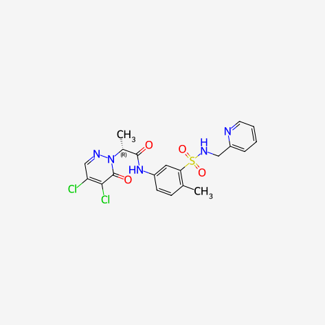 Cc1ccc(NC(=O)[C@@H](C)n2ncc(Cl)c(Cl)c2=O)cc1S(=O)(=O)NCc1ccccn1